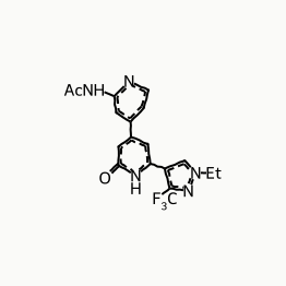 CCn1cc(-c2cc(-c3ccnc(NC(C)=O)c3)cc(=O)[nH]2)c(C(F)(F)F)n1